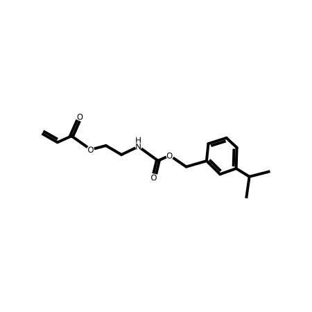 C=CC(=O)OCCNC(=O)OCc1cccc(C(C)C)c1